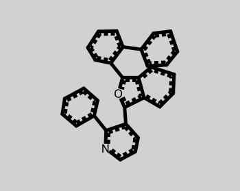 c1ccc(-c2ccccc2-c2oc(-c3cccnc3-c3ccccc3)c3ccccc23)cc1